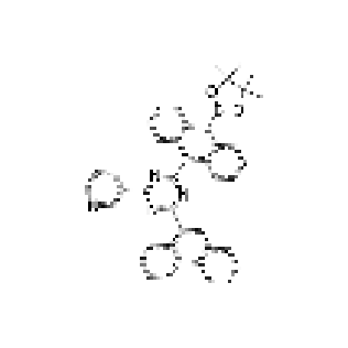 CC1(C)OB(c2c3ccccc3c(-c3nc(-c4cccnc4)nc(-c4cc5ccccc5c5ccccc45)n3)c3ccccc23)OC1(C)C